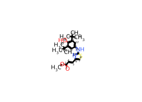 COC(=O)C=Cc1csc(Nc2cc(C(C)(C)C)c(O)c(C(C)(C)C)c2)n1